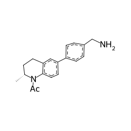 CC(=O)N1c2ccc(-c3ccc(CN)cc3)cc2CC[C@H]1C